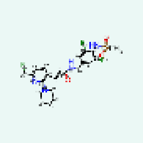 CS(=O)(=O)Nc1c(F)cc(CNC(=O)/C=C/c2ccc(CF)nc2N2CCCCC2)cc1F